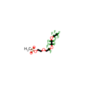 CS(=O)(=O)OCCOCC(F)(F)OC(F)(F)C(F)(F)OC(F)(F)C(F)(F)F